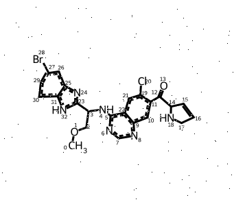 COCC(Nc1ncnc2cc(C(=O)C3C=CCN3)c(Cl)cc12)c1nc2cc(Br)ccc2[nH]1